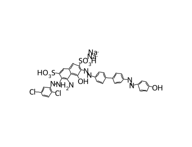 Nc1c(N=Nc2cc(Cl)ccc2Cl)c(S(=O)(=O)O)cc2cc(S(=O)(=O)O)c(N=Nc3ccc(-c4ccc(N=Nc5ccc(O)cc5)cc4)cc3)c(O)c12.[Na].[Na]